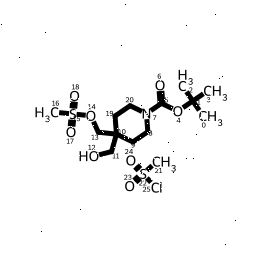 CC(C)(C)OC(=O)N1CCC(CO)(COS(C)(=O)=O)CC1.CS(=O)(=O)Cl